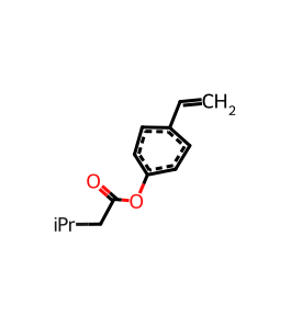 C=Cc1ccc(OC(=O)CC(C)C)cc1